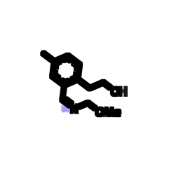 COC/N=C\c1cc(C)ccc1CCO